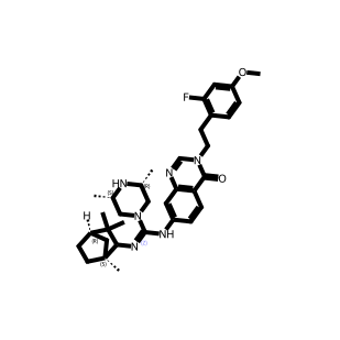 COc1ccc(CCn2cnc3cc(N/C(=N/C4C(C)(C)[C@@H]5CC[C@@]4(C)C5)N4C[C@@H](C)N[C@@H](C)C4)ccc3c2=O)c(F)c1